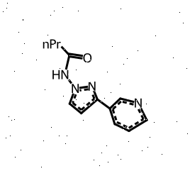 CCCC(=O)Nn1ccc(-c2cccnc2)n1